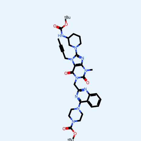 CC#CCn1c(N2CCCC(NC(=O)OC(C)(C)C)C2)nc2c1c(=O)n(Cc1nc(N3CCN(C(=O)OC(C)(C)C)CC3)c3ccccc3n1)c(=O)n2C